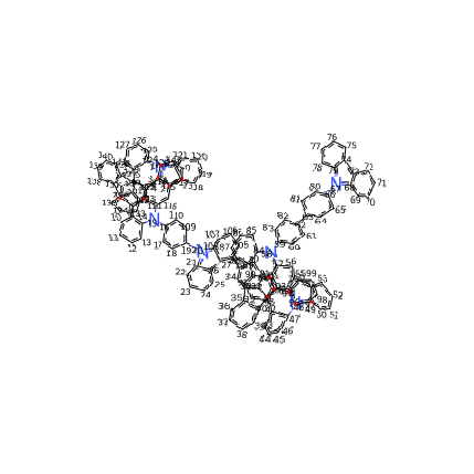 c1ccc(-c2cccc(-c3ccccc3N(c3ccc(-n4c5ccccc5c5c(-c6ccc7c(c6)-c6ccccc6C76c7ccccc7-n7c8ccccc8c8cc(N(c9ccc(-c%10ccc(-n%11c%12ccccc%12c%12ccccc%12%11)cc%10)cc9)c9ccccc9-c9cccc(-c%10ccccc%10)c9)cc6c87)cccc54)cc3)c3cc4c5c(c3)c3ccccc3n5-c3ccccc3C43c4ccccc4-c4ccccc43)c2)cc1